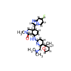 CN(C)Cc1nc(Nc2ccc(-c3cnc4cc(F)ccn34)c3c2C(=O)N(C)C3)ccc1[C@@]1(C)CCCO1